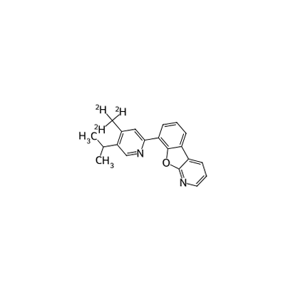 [2H]C([2H])([2H])c1cc(-c2cccc3c2oc2ncccc23)ncc1C(C)C